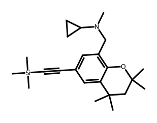 CN(Cc1cc(C#C[Si](C)(C)C)cc2c1OC(C)(C)CC2(C)C)C1CC1